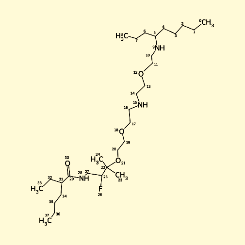 CCCCCC(CCC)NCCOCCNCCOCCOC(C)(C)C(F)CNC(=O)C(CC)CCCC